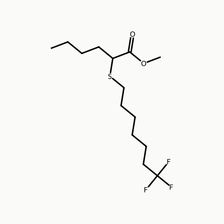 CCCCC(SCCCCCCC(F)(F)F)C(=O)OC